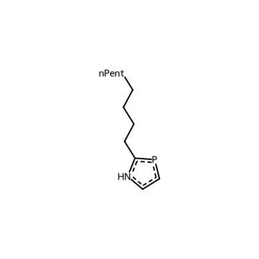 CCCCCCCCCc1[nH]ccp1